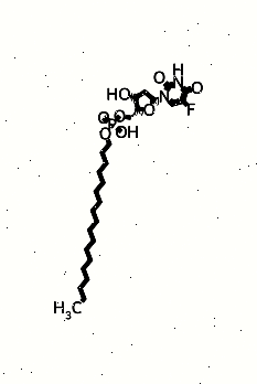 CCCCCCCCCCCCCCCCCCOP(=O)(O)OC[C@H]1O[C@@H](n2cc(F)c(=O)[nH]c2=O)C[C@@H]1O